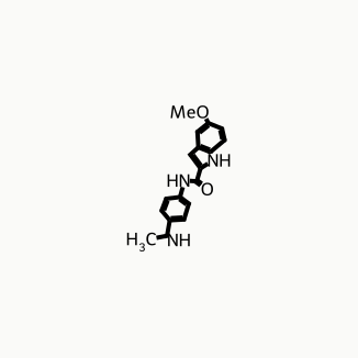 COc1ccc2[nH]c(C(=O)Nc3ccc(C(C)=N)cc3)cc2c1